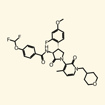 COc1ccc([C@@H]2CN(c3c(C)ccn(CC4CCOCC4)c3=O)C(=O)[C@H]2NC(=O)c2ccc(OC(F)F)cc2)c(F)c1